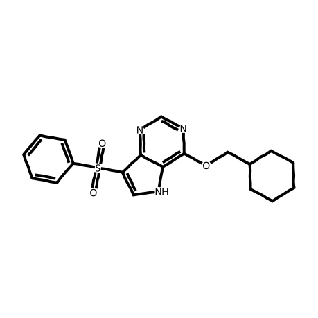 O=S(=O)(c1ccccc1)c1c[nH]c2c(OCC3CCCCC3)ncnc12